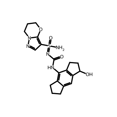 NS(=O)(=NC(=O)Nc1c2c(cc3c1CCC3O)CCC2)c1cnn2c1OCCC2